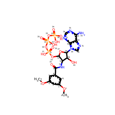 COc1cc(OC)cc(C(=O)NC2C(OP(=O)(O)OP(=O)(O)OP(=O)(O)O)OC(n3cnc4c(N)ncnc43)C2O)c1